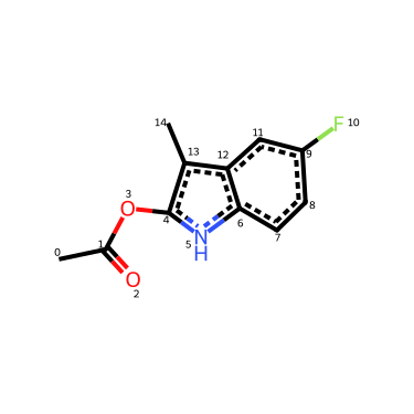 CC(=O)Oc1[nH]c2ccc(F)cc2c1C